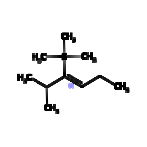 CC/C=C(/C(C)C)S(C)(C)C